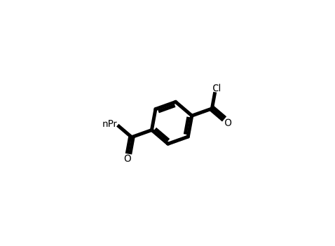 CCCC(=O)c1ccc(C(=O)Cl)cc1